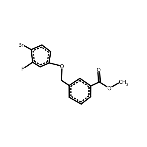 COC(=O)c1cccc(COc2ccc(Br)c(F)c2)c1